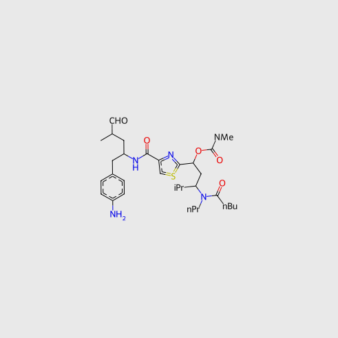 CCCCC(=O)N(CCC)C(CC(OC(=O)NC)c1nc(C(=O)NC(Cc2ccc(N)cc2)CC(C)C=O)cs1)C(C)C